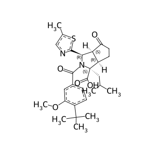 COc1cc(C(=O)N2[C@@H](c3ncc(C)s3)[C@H]3C(=O)CC[C@H]3[C@@]2(CC(C)C)C(=O)O)ccc1C(C)(C)C